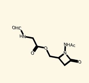 CC(=O)NN1C(=O)CC1COC(=O)CNC=O